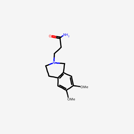 COc1cc2c(cc1OC)CN(CCC(N)=O)CC2